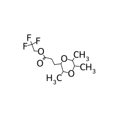 CC1OC(C)C(CCC(=O)OCC(F)(F)F)OC1C